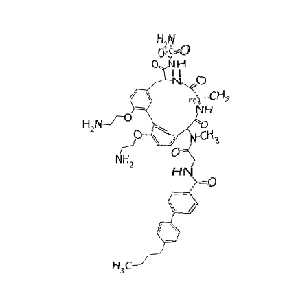 CCCCc1ccc(-c2ccc(C(=O)NCC(=O)N(C)C3C(=O)N[C@@H](C)C(=O)NC(C(=O)NS(N)(=O)=O)Cc4ccc(OCCN)c(c4)-c4cc3ccc4OCCN)cc2)cc1